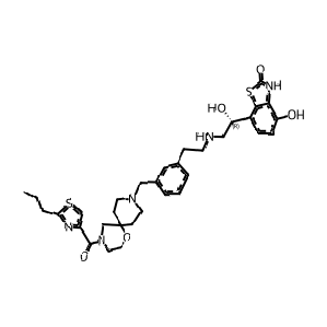 CCCc1nc(C(=O)N2CCOC3(CCN(Cc4cccc(CCNC[C@H](O)c5ccc(O)c6[nH]c(=O)sc56)c4)CC3)C2)cs1